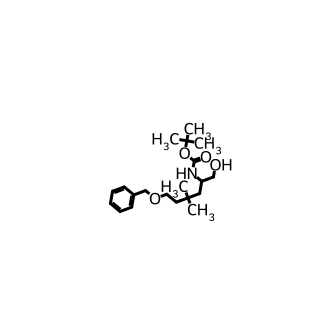 CC(C)(CCOCc1ccccc1)CC(CO)NC(=O)OC(C)(C)C